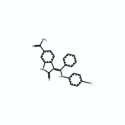 NC(=O)c1ccc2c(c1)NC(=O)/C2=C(\Nc1ccc(N)cc1)c1ccccc1